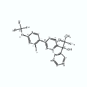 CC(C)(C)C(O)(c1cncnc1)c1ccc(-c2ccc(OC(F)(F)F)cc2F)cn1